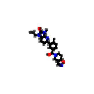 Cc1ccc(C(=O)N2CCc3oncc3C2)cc1-c1ccc2c(n1)n(C)c(=O)n2CC(C)(C)C